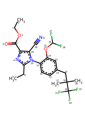 CCOC(=O)c1nc(CC)n(-c2ccc(CC(C)(C)C(F)(F)F)cc2OC(F)F)c1C#N